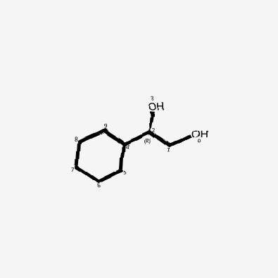 OC[C@H](O)C1CCCCC1